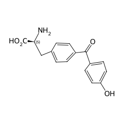 N[C@@H](Cc1ccc(C(=O)c2ccc(O)cc2)cc1)C(=O)O